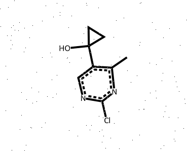 Cc1nc(Cl)ncc1C1(O)CC1